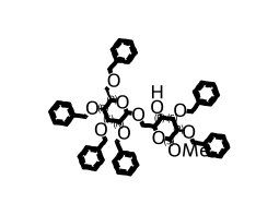 CO[C@H]1OC(COC2O[C@H](COCc3ccccc3)[C@@H](OCc3ccccc3)[C@H](OCc3ccccc3)[C@H]2OCc2ccccc2)[C@@H](O)[C@H](OCc2ccccc2)[C@H]1OCc1ccccc1